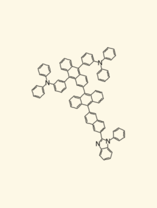 c1ccc(N(c2ccccc2)c2cccc(-c3c4ccccc4c(-c4cccc(N(c5ccccc5)c5ccccc5)c4)c4cc(-c5c6ccccc6c(-c6ccc7cc(-c8nc9ccccc9n8-c8ccccc8)ccc7c6)c6ccccc56)ccc34)c2)cc1